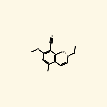 CCO/C=C\c1c(C)nc(OC)c(C#N)c1N